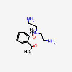 C=O.CC(=O)c1ccccc1.NCCNCCN